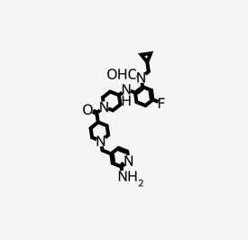 Nc1cc(CN2CCC(C(=O)N3CCC(NC4=C(N(C=O)CC5CC5)C=C(F)CC4)CC3)CC2)ccn1